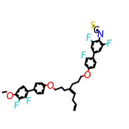 C=CC/C=C(\CCCOc1ccc(-c2ccc(OCC)c(F)c2F)cc1)CCCOc1ccc(-c2cc(F)c(N=C=S)c(F)c2)c(F)c1